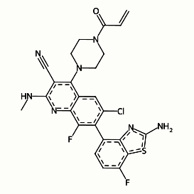 C=CC(=O)N1CCN(c2c(C#N)c(NC)nc3c(F)c(-c4ccc(F)c5sc(N)nc45)c(Cl)cc23)CC1